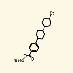 CCCCCCOC(=O)c1ccc(C2CCC([C@H]3CC[C@H](CC)CC3)CC2)cc1